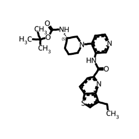 CCc1csc2ccc(C(=O)Nc3cnccc3N3CCC[C@H](NC(=O)OC(C)(C)C)C3)nc12